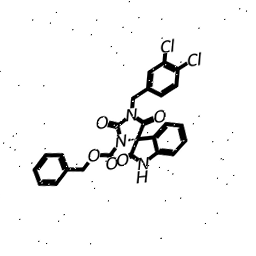 O=C(OCc1ccccc1)N1C(=O)N(Cc2ccc(Cl)c(Cl)c2)C(=O)[C@@]12C(=O)Nc1ccccc12